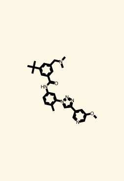 COc1cncc(-c2cn(-c3cc(NC(=O)c4cc(CN(C)C)cc(C(C)(C)C)c4)ccc3C)nn2)c1